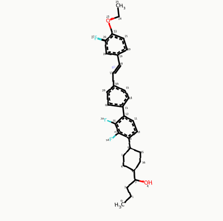 CCCC(O)C1CCC(c2ccc(-c3ccc(/C=C/c4ccc(OCC)c(F)c4)cc3)c(F)c2F)CC1